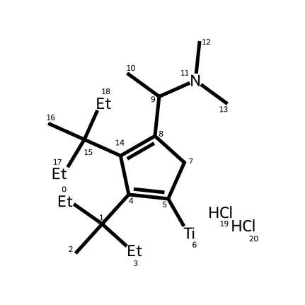 CCC(C)(CC)C1=[C]([Ti])CC(C(C)N(C)C)=C1C(C)(CC)CC.Cl.Cl